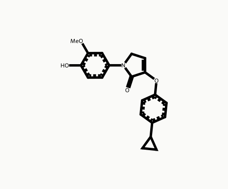 COc1cc(N2CC=C(Oc3ccc(C4CC4)cc3)C2=O)ccc1O